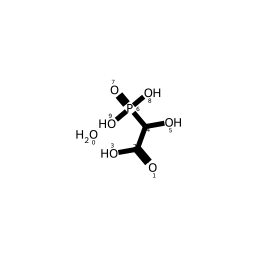 O.O=C(O)C(O)P(=O)(O)O